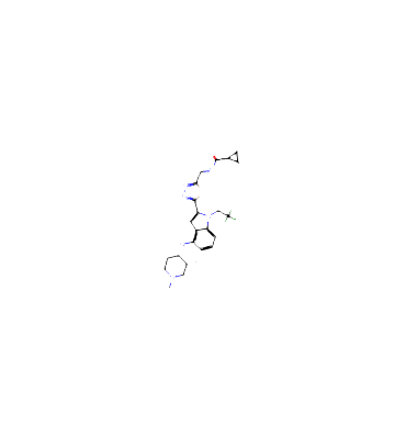 CN1CC[C@H](Nc2cccc3c2cc(-c2nnc(CNC(=O)C4CC4)s2)n3CC(F)(F)F)[C@H](F)C1